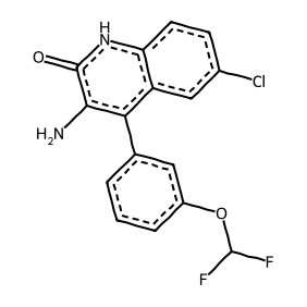 Nc1c(-c2cccc(OC(F)F)c2)c2cc(Cl)ccc2[nH]c1=O